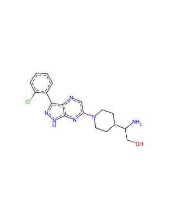 NC(CO)C1CCN(c2cnc3c(-c4ccccc4Cl)n[nH]c3n2)CC1